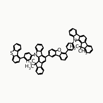 CC1(C)c2ccccc2-c2ccc3c4ccccc4n(-c4ccc(-c5cccc6c5oc5ccc(-c7cc8c(c9c7c7ccccc7n9-c7ccc(-c9cccc%10sc%11ccccc%11c9%10)cc7)C(C)(C)c7ccccc7-8)cc56)cc4)c3c21